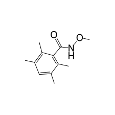 CONC(=O)c1c(C)c(C)cc(C)c1C